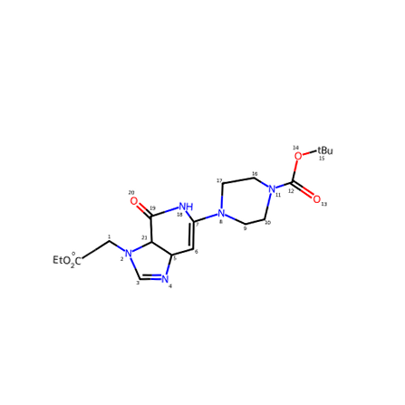 CCOC(=O)CN1C=NC2C=C(N3CCN(C(=O)OC(C)(C)C)CC3)NC(=O)C21